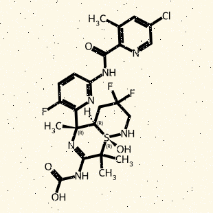 Cc1cc(Cl)cnc1C(=O)Nc1ccc(F)c([C@@]2(C)N=C(NC(=O)O)C(C)(C)[S@@]3(O)NCC(F)(F)C[C@H]23)n1